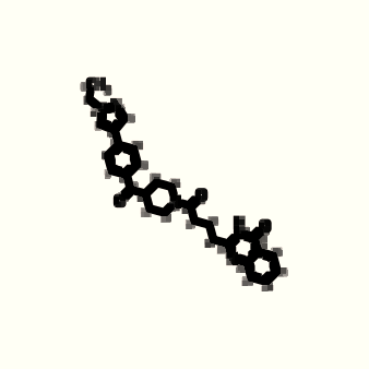 CCn1cc(-c2ccc(C(=O)C3CCN(C(=O)CCCc4nc5ccccc5c(=O)[nH]4)CC3)cc2)cn1